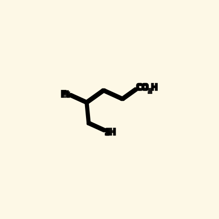 CCC(CS)CCC(=O)O